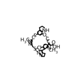 Cn1nc2cc1CSc1cc3c(c(c1)OCCCc1c(C(=O)O)n(C)c4c(c(Cl)ccc14)-c1c(nn4c1CCC4)CSC2)NCCC3